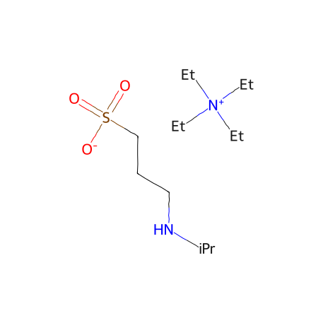 CC(C)NCCCS(=O)(=O)[O-].CC[N+](CC)(CC)CC